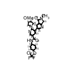 CO[C@H]1CCN(c2ncc(C(=O)Nc3ccc(OC(F)(F)Cl)cc3)cc2-c2cnc3c(c2)C(=O)N(C)C3)C1